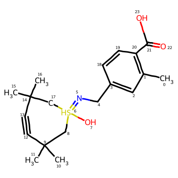 Cc1cc(CN=[SH]2(O)CC(C)(C)C#CC(C)(C)C2)ccc1C(=O)O